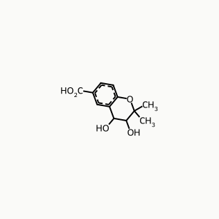 CC1(C)Oc2ccc(C(=O)O)cc2C(O)C1O